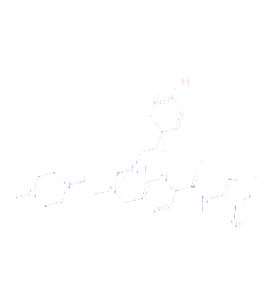 CN1CCN(CCN(Cc2ccc(C(=O)Nc3cscc3N)nc2)C(=O)NCCc2ccc(O)c(O)c2)CC1